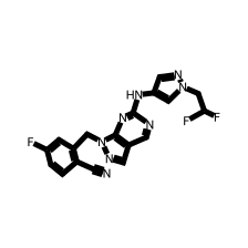 N#Cc1ccc(F)cc1Cn1ncc2cnc(Nc3cnn(CC(F)F)c3)nc21